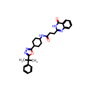 CC(C)(c1ccccc1)c1nnc(C2CCC(NC(=O)CCc3nc4ccccc4c(=O)[nH]3)CC2)o1